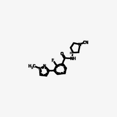 Cn1ccc(-c2cccc(C(=O)N[C@@H]3CCN(C#N)C3)c2F)n1